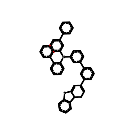 C1=C(c2cccc(-c3cccc(N(c4cccc(-c5ccccc5)c4)c4ccccc4-c4ccccc4)c3)c2)C=C2Sc3ccccc3C2C1